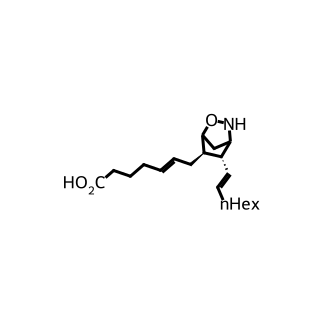 CCCCCCC=C[C@H]1C2CC(ON2)[C@@H]1CC=CCCCC(=O)O